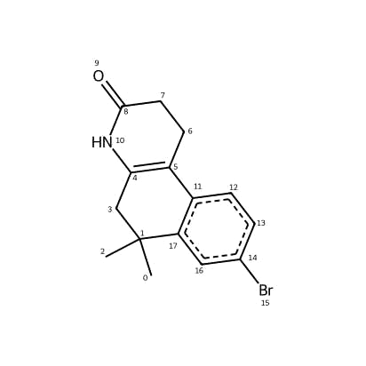 CC1(C)CC2=C(CCC(=O)N2)c2ccc(Br)cc21